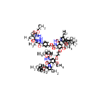 C=CCOC(=O)N[C@H](C(=O)N[C@@H](C)C(=O)Nc1ccc(COC(=O)Nc2cc(OCCCOc3cc(NC(=O)OC(C)(C)C)c(C(=O)N4CC(=C)C[C@H]4CO[Si](C)(C)C(C)(C)C)cc3OC)c(OC)cc2C(=O)N2CC(=C)C[C@H]2CO[Si](C)(C)C(C)(C)C)cc1)C(C)C